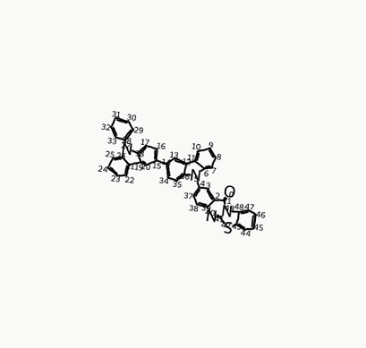 O=c1c2cc(-n3c4ccccc4c4cc(-c5ccc6c(c5)c5ccccc5n6-c5ccccc5)ccc43)ccc2nc2sc3ccccc3n12